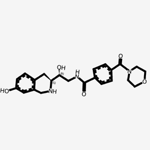 O=C(NC[C@@H](O)[C@@H]1Cc2ccc(O)cc2CN1)c1ccc(C(=O)N2CCOCC2)cc1